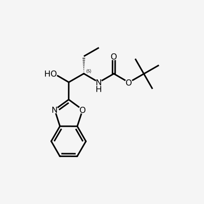 CC[C@H](NC(=O)OC(C)(C)C)C(O)c1nc2ccccc2o1